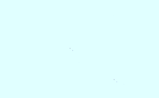 O=[N+]([O-])c1cccc2c1c1cccc3oc4ccc5c6ccccc6n2c5c4c31